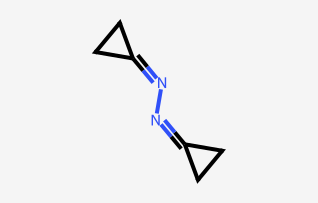 C1CC1=NN=C1CC1